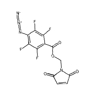 [N-]=[N+]=Nc1c(F)c(F)c(C(=O)OCN2C(=O)C=CC2=O)c(F)c1F